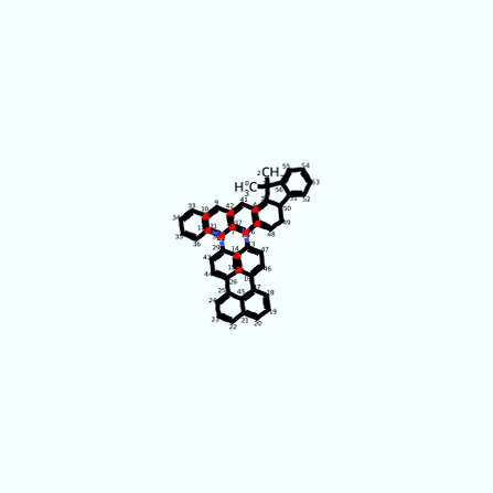 CC1(C)C2=CC(N(c3ccccc3)c3ccc(-c4cccc5cccc(-c6ccc(N(c7ccccc7)c7ccccc7)cc6)c45)cc3)=CCC2c2ccccc21